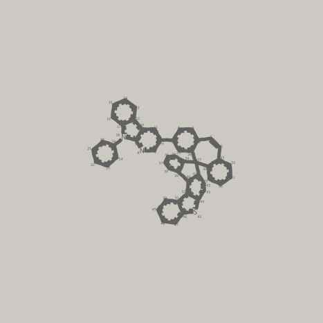 C1=Cc2ccc(-c3cnc4c(c3)c3ccccc3n4-c3ccccc3)cc2C2(c3ccccc31)c1ccccc1-c1c2ccc2sc3ccccc3c12